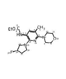 CCOC(=O)Nc1cc(C)c(N2CCOCC2)nc1N1CC[C@@H](F)C1